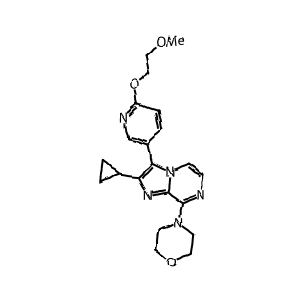 COCCOc1ccc(-c2c(C3CC3)nc3c(N4CCOCC4)nccn23)cn1